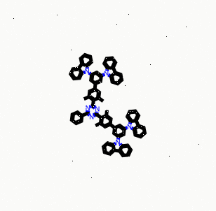 Cc1cc(-c2cc(-n3c4ccccc4c4ccccc43)cc(-n3c4ccccc4c4ccccc43)c2)cc(C)c1-c1nc(-c2ccccc2)nc(-c2c(C)cc(-c3cc(-n4c5ccccc5c5ccccc54)cc(-n4c5ccccc5c5ccccc54)c3)cc2C)n1